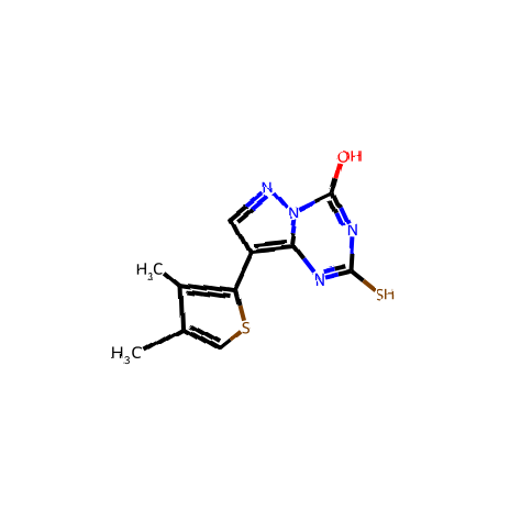 Cc1csc(-c2cnn3c(O)nc(S)nc23)c1C